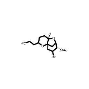 CC(=O)O[C@@H]1C(Br)C[C@]23CC1O[C@H]2CCC(CCC#N)O3